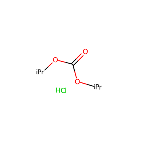 CC(C)OC(=O)OC(C)C.Cl